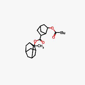 CC(C)(C)C(=O)OC1CC2CC(C(=O)OC3(C)C4CC5CC(C4)CC3C5)C1C2